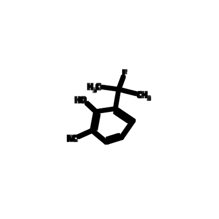 CC(C)(F)c1cccc(C#N)c1O